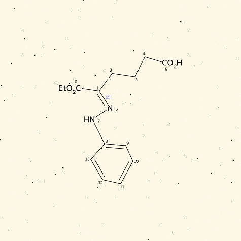 CCOC(=O)/C(CCCC(=O)O)=N\Nc1ccccc1